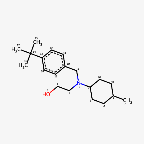 CC1CCC(N(CCO)Cc2ccc(C(C)(C)C)cc2)CC1